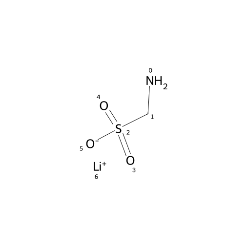 NCS(=O)(=O)[O-].[Li+]